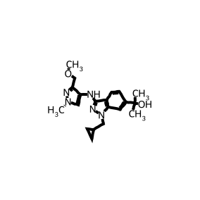 COCc1nn(C)cc1Nc1nn(CC2CC2)c2cc(C(C)(C)O)ccc12